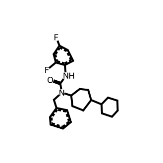 O=C(Nc1ccc(F)cc1F)N(Cc1ccccc1)C1CCC(C2CCCCC2)CC1